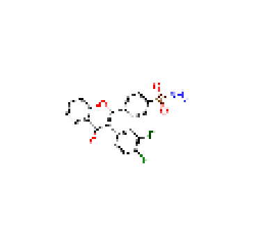 NS(=O)(=O)c1ccc(-c2oc3ccccc3c(=O)c2-c2ccc(F)c(F)c2)cc1